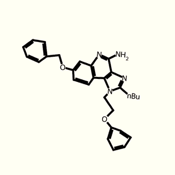 CCCCc1nc2c(N)nc3cc(OCc4ccccc4)ccc3c2n1CCOc1ccccc1